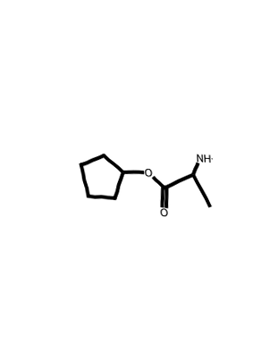 CC([NH])C(=O)OC1CCCC1